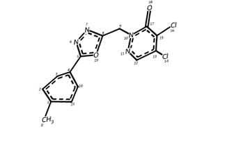 Cc1ccc(-c2nnc(Cn3ncc(Cl)c(Cl)c3=O)o2)cc1